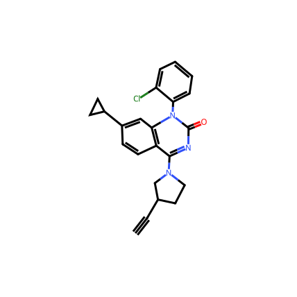 C#CC1CCN(c2nc(=O)n(-c3ccccc3Cl)c3cc(C4CC4)ccc23)C1